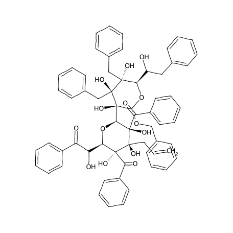 C=CC[C@]1(O)[C@@](O)(C(=O)c2ccccc2)[C@@H](C(O)C(=O)c2ccccc2)O[C@@H]([C@@]2(O)[C@@H](OCc3ccccc3)O[C@H](C(O)Cc3ccccc3)[C@](O)(Cc3ccccc3)[C@@]2(O)Cc2ccccc2)[C@]1(O)C(=O)c1ccccc1